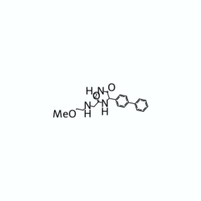 COCCNCC(=O)NC(C(N)=O)c1ccc(-c2ccccc2)cc1